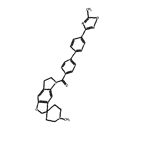 Cc1nc(-c2ccc(-c3ccc(C(=O)N4CCc5cc6c(cc54)C4(CCN(C)CC4)CO6)cc3)cc2)no1